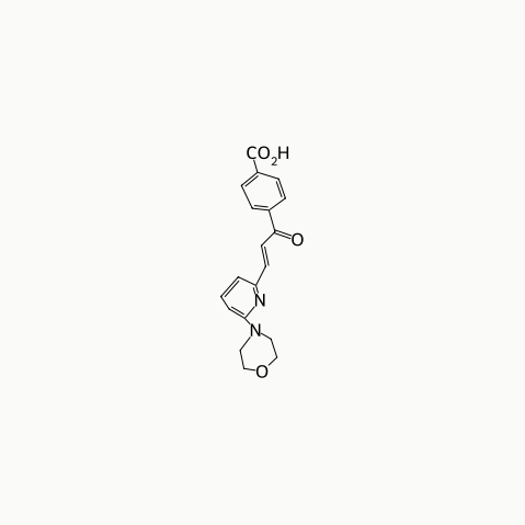 O=C(O)c1ccc(C(=O)C=Cc2cccc(N3CCOCC3)n2)cc1